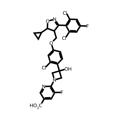 O=C(O)c1cnc(N2CC(O)(c3ccc(OCC4C(c5c(Cl)cc(F)cc5Cl)=NOC4C4CC4)cc3Cl)C2)c(F)c1